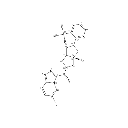 O=C(c1nnc2ccc(F)cn12)N1CC2CC(c3ccccc3C(F)(F)F)C[C@@H]2C1